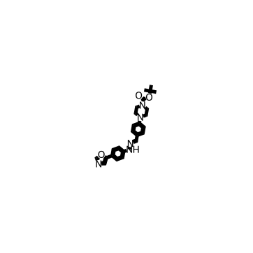 CC(C)(C)OC(=O)N1CCN(c2ccc(C=NNc3ccc(-c4cnco4)cc3)cc2)CC1